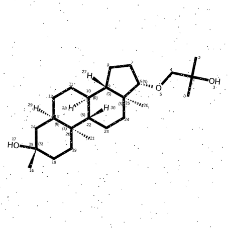 CC(C)(O)CO[C@H]1CC[C@H]2[C@@H]3CC[C@@H]4C[C@@](C)(O)CC[C@]4(C)[C@H]3CC[C@]12C